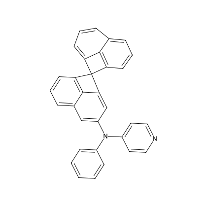 c1ccc(N(c2ccncc2)c2cc3c4c(cccc4c2)C32c3cccc4cccc2c34)cc1